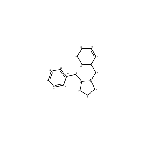 C1=CC(CN2CCCC2Cc2ccccc2)=CCC1